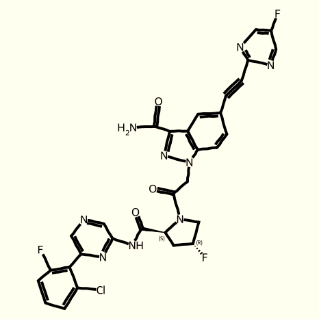 NC(=O)c1nn(CC(=O)N2C[C@H](F)C[C@H]2C(=O)Nc2cncc(-c3c(F)cccc3Cl)n2)c2ccc(C#Cc3ncc(F)cn3)cc12